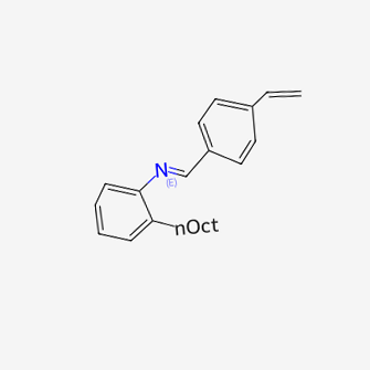 C=Cc1ccc(/C=N/c2ccccc2CCCCCCCC)cc1